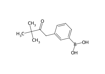 CC(C)(C)C(=O)Cc1cccc(B(O)O)c1